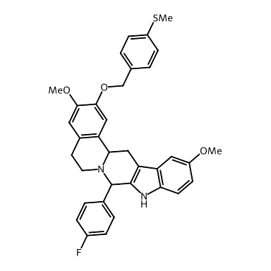 COc1ccc2[nH]c3c(c2c1)CC1c2cc(OCc4ccc(SC)cc4)c(OC)cc2CCN1C3c1ccc(F)cc1